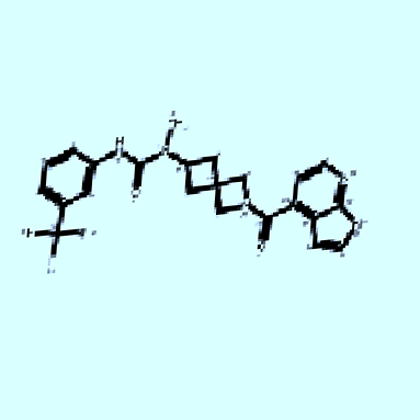 CN(C(=O)Nc1cccc(C(F)(F)F)c1)C1CC2(C1)CN(C(=O)c1ccnc3[nH]ccc13)C2